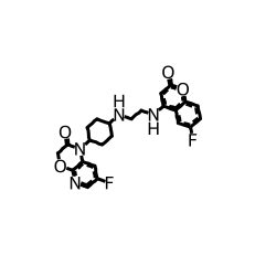 O=C1COc2ncc(F)cc2N1C1CCC(NCCNc2cc(=O)oc3ccc(F)cc23)CC1